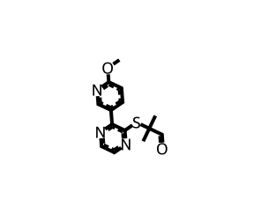 COc1ccc(-c2nccnc2SC(C)(C)C=O)cn1